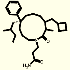 CCC(C)C[C@]1(c2ccccc2)CCCC(CC2CCC2)C(C)C(=O)N(CCC(N)=O)CCC1